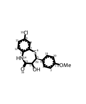 COc1ccc([C@@H]2Sc3cc(Cl)ccc3NC(=O)C2O)cc1